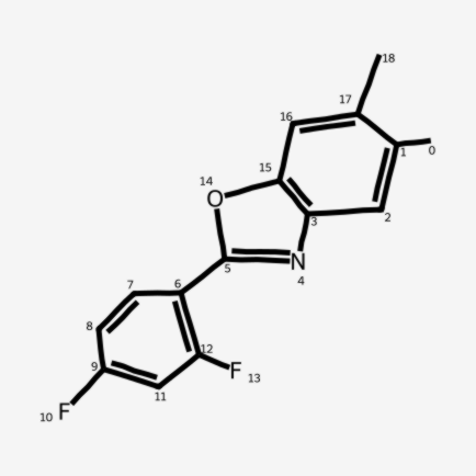 Cc1cc2nc(-c3ccc(F)cc3F)oc2cc1C